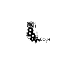 CC(CCC(=O)O)C1CCC2C3C(CC(O)C12C)C1(C)CCC(OP(=O)(O)O)CC1CC3(O)F